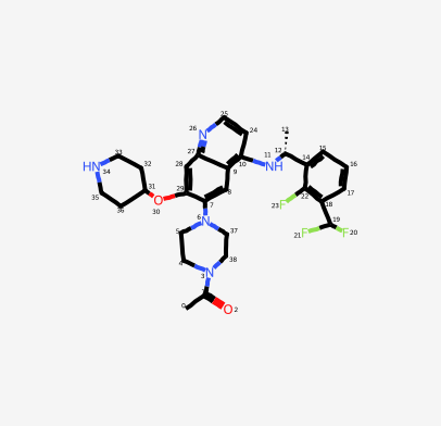 CC(=O)N1CCN(c2cc3c(N[C@H](C)c4cccc(C(F)F)c4F)ccnc3cc2OC2CCNCC2)CC1